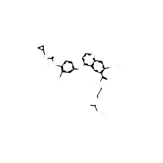 COc1cc2nccc(Oc3ccc(NC(=O)NC4CC4)c(Cl)c3)c2cc1C(=O)NCCOC(C)OC